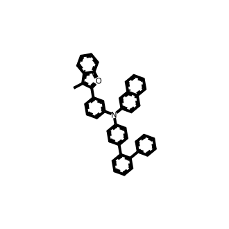 Cc1c(-c2cccc(N(c3ccc(-c4ccccc4-c4ccccc4)cc3)c3ccc4ccccc4c3)c2)oc2ccccc12